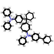 C1=CC(c2ccc(N(C3=CCC=C(C4(C5=CC=C(N(c6ccccc6)c6ccccc6)CC5)CCCCC4)C=C3)c3ccccc3)cc2)=CCC1